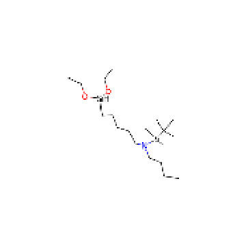 CCCCN(CCCCC[SiH](OCC)OCC)[Si](C)(C)C(C)(C)C